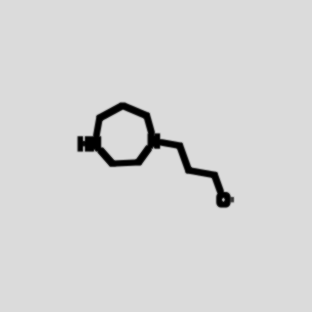 [O]CCCN1CCCNCC1